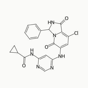 O=C1NC(c2ccccc2)n2c1c(Cl)cc(Nc1cc(NC(=O)C3CC3)ncn1)c2=O